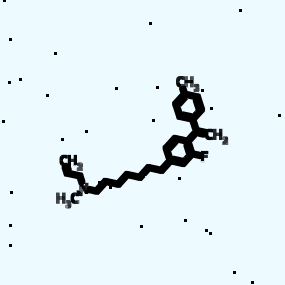 C=CCN(C)CCCCCCCc1ccc(C(=C)c2ccc(C)cc2)c(F)c1